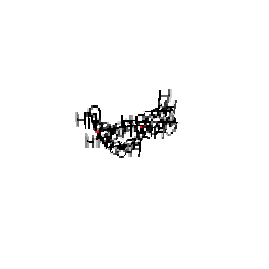 C=C(C)C(=O)Nc1ccc(OCC(O)COc2ccc3ccc(OCC(O)COc4ccc(NC(=O)C(=C)C)cc4)c(Cc4c(OCC(O)COc5ccc(NC(=O)C(=C)C)cc5)ccc5ccc(OCC(O)COc6ccc(NC(=O)C(=C)C)cc6)cc45)c3c2)cc1